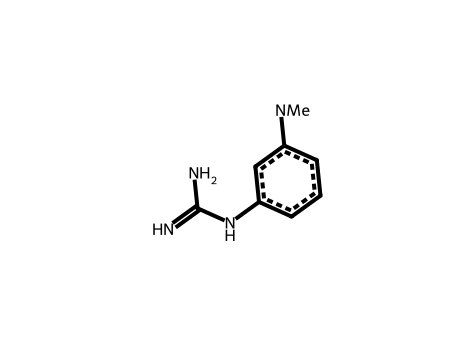 CNc1cccc(NC(=N)N)c1